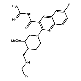 CO[C@H]1CN(c2nc3ccc(F)cc3cc2C(=O)NC(C)=N)CC[C@H]1CNCC(C)C